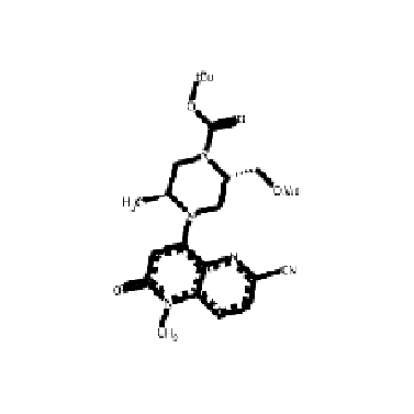 COC[C@@H]1CN(c2cc(=O)n(C)c3ccc(C#N)nc23)[C@@H](C)CN1C(=O)OC(C)(C)C